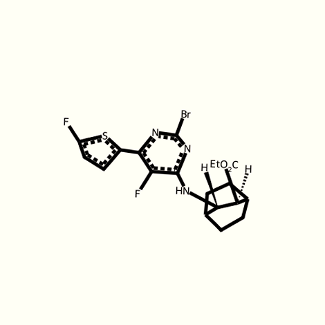 CCOC(=O)[C@H]1C2CCC(CC2)[C@@H]1Nc1nc(Br)nc(-c2ccc(F)s2)c1F